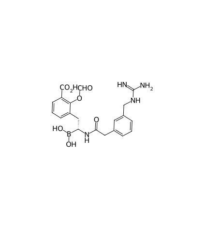 N=C(N)NCc1cccc(CC(=O)N[C@@H](Cc2cccc(C(=O)O)c2OC=O)B(O)O)c1